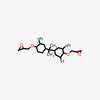 CCCC1CC(C(C)(C)C2CC(CC)C(OCC3CO3)C(CCC)C2)CCC1OCC1CO1